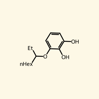 CCCCCCC(CC)Oc1cccc(O)c1O